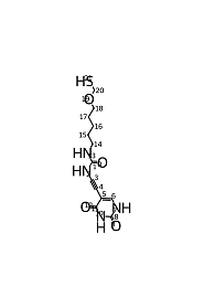 O=C(NC#Cc1c[nH]c(=O)[nH]c1=O)NCCCCCOCS